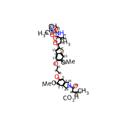 COc1cc2c(cc1OCCCOc1cc3cc(C(=O)C[C@H](C)C(=O)NS(=O)(=O)N(C)C)sc3cc1OC)CN(C(=O)C[C@H](C)C(=O)O)C2